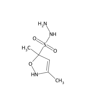 CC1=CC(C)(S(=O)(=O)NN)ON1